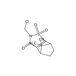 CC1(C)C2CCC1C1=C2C(=O)N(CCl)S1(=O)=O